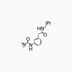 CC(C)CNC(=O)Cc1cccc(NC(=O)N(C)C)c1